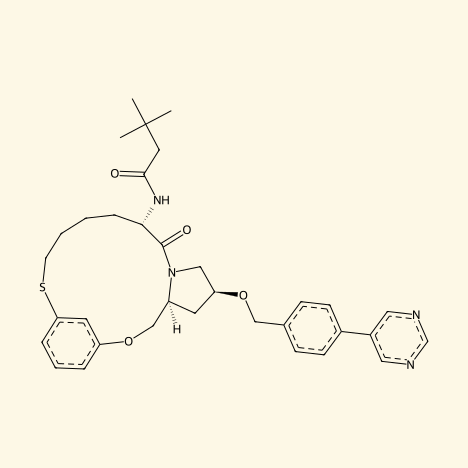 CC(C)(C)CC(=O)N[C@H]1CCCCSc2cccc(c2)OC[C@@H]2C[C@H](OCc3ccc(-c4cncnc4)cc3)CN2C1=O